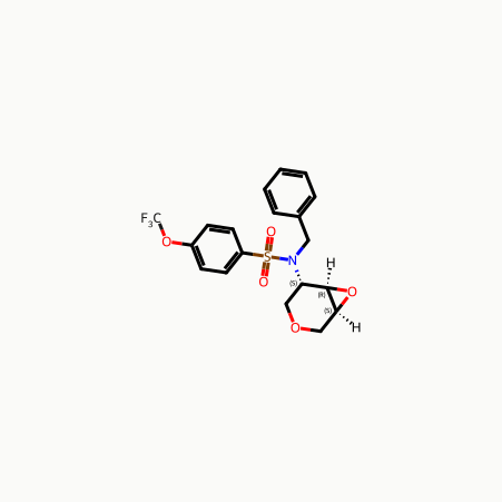 O=S(=O)(c1ccc(OC(F)(F)F)cc1)N(Cc1ccccc1)[C@H]1COC[C@@H]2O[C@@H]21